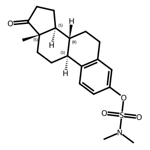 CN(C)S(=O)(=O)Oc1ccc2c(c1)CC[C@@H]1[C@@H]2CC[C@]2(C)C(=O)CC[C@@H]12